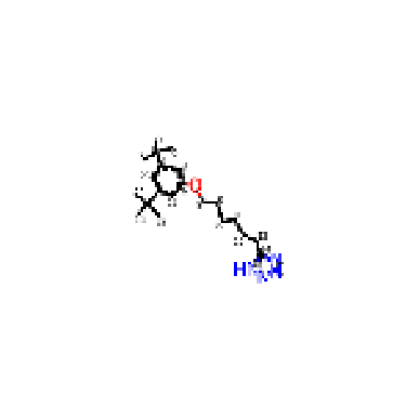 CC(C)(C)c1cc(OCCCCCCc2nnn[nH]2)cc(C(C)(C)C)c1